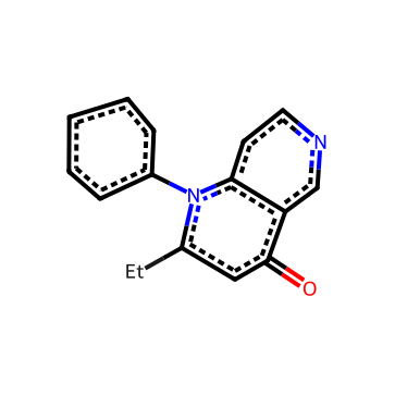 CCc1cc(=O)c2cnccc2n1-c1ccccc1